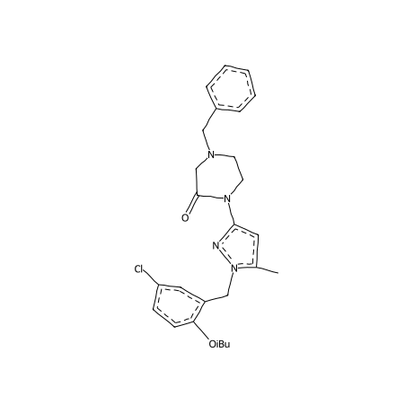 Cc1cc(N2CCN(Cc3ccccc3)CC2=O)nn1Cc1cc(Cl)ccc1OCC(C)C